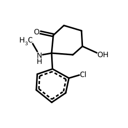 CNC1(c2ccccc2Cl)CC(O)CCC1=O